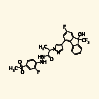 CC(C(=O)NNc1ccc(S(C)(=O)=O)cc1F)n1cc(-c2cc(F)cc3c2-c2ccccc2C3(O)C(F)(F)F)cn1